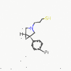 CC(C)c1ccc([C@@]23C[C@@H]2CN(CCCS)C3)cc1